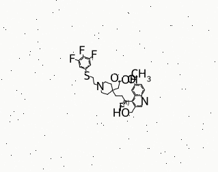 COc1ccc2ncc(CO)c([C@H](F)CCC3(CC(=O)O)CCN(CCSc4cc(F)c(F)c(F)c4)CC3)c2c1